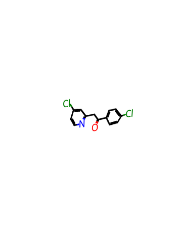 O=C(Cc1cc(Cl)ccn1)c1ccc(Cl)cc1